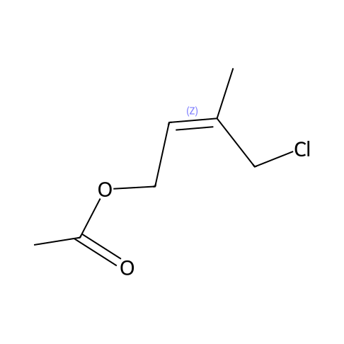 CC(=O)OC/C=C(/C)CCl